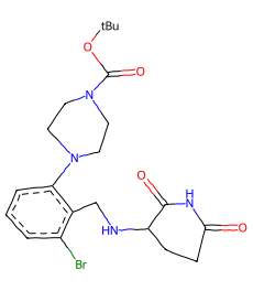 CC(C)(C)OC(=O)N1CCN(c2cccc(Br)c2CNC2CCC(=O)NC2=O)CC1